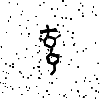 CCc1ccc(N2C[C@@H](C)N(S(C)(=O)=O)[C@@H](C)C2)nc1